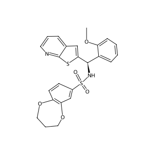 COc1ccccc1[C@@H](NS(=O)(=O)c1ccc2c(c1)OCCCO2)c1cc2cccnc2s1